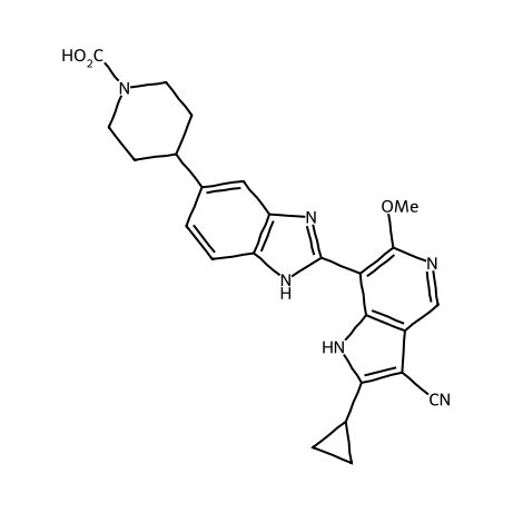 COc1ncc2c(C#N)c(C3CC3)[nH]c2c1-c1nc2cc(C3CCN(C(=O)O)CC3)ccc2[nH]1